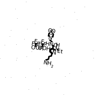 CCNc1nc(CCCCN)ccc1C(=O)NCCN1CCS(=O)(=O)CC1.O=C(O)C(F)(F)F.O=C(O)C(F)(F)F